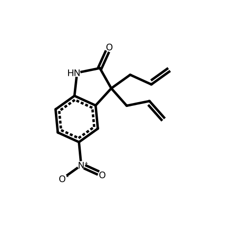 C=CCC1(CC=C)C(=O)Nc2ccc([N+](=O)[O-])cc21